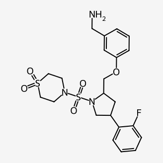 NCc1cccc(OCC2CC(c3ccccc3F)CN2S(=O)(=O)N2CCS(=O)(=O)CC2)c1